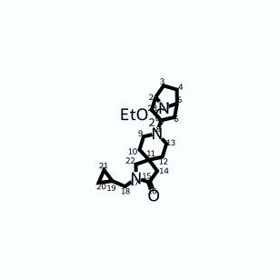 CCOC(=O)N1C2CCC1CC(N1CCC3(CC1)CC(=O)N(CC1CC1)C3)C2